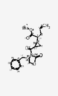 C=CC[C@H](C(=O)OC(C)(C)C)[C@H]1CC1C(=O)N1C(=O)OC[C@H]1Cc1ccccc1